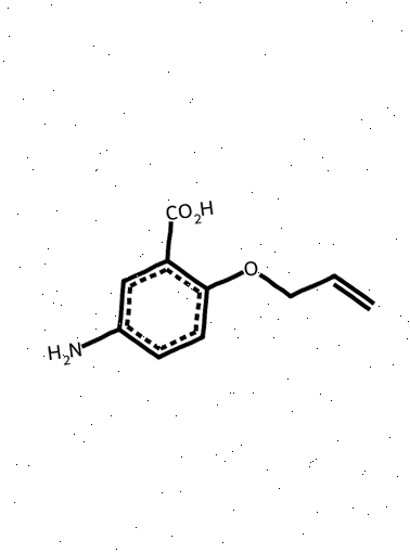 C=CCOc1ccc(N)cc1C(=O)O